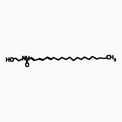 CCCCCCCCCCCCCCCC=CC=CC=CC(=O)NCCO